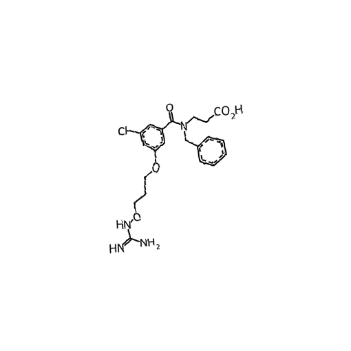 N=C(N)NOCCCOc1cc(Cl)cc(C(=O)N(CCC(=O)O)Cc2ccccc2)c1